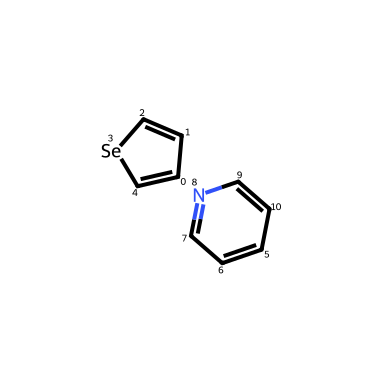 c1cc[se]c1.c1ccncc1